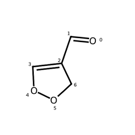 O=CC1=COOC1